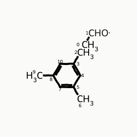 C[C]=O.Cc1cc(C)cc(C)c1